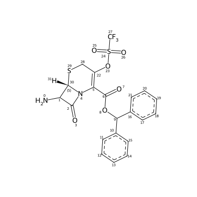 NC1C(=O)N2C(C(=O)OC(c3ccccc3)c3ccccc3)=C(OS(=O)(=O)C(F)(F)F)CS[C@@H]12